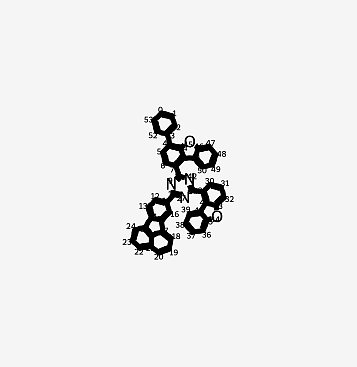 c1ccc(-c2ccc(-c3nc(-c4ccc5c(c4)-c4cccc6cccc-5c46)nc(-c4cccc5oc6ccccc6c45)n3)c3c2oc2ccccc23)cc1